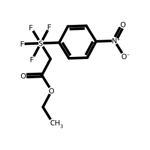 CCOC(=O)CS(F)(F)(F)(F)c1ccc([N+](=O)[O-])cc1